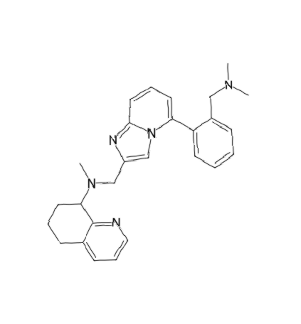 CN(C)Cc1ccccc1-c1cccc2nc(CN(C)C3CCCc4cccnc43)cn12